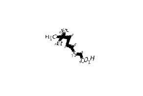 CCC(C)(CC)CCCSCC(=O)O